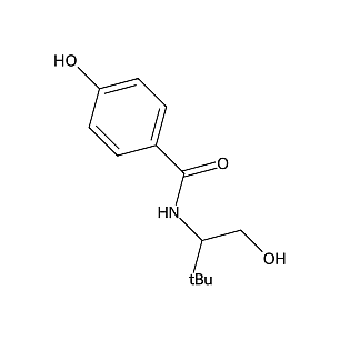 CC(C)(C)C(CO)NC(=O)c1ccc(O)cc1